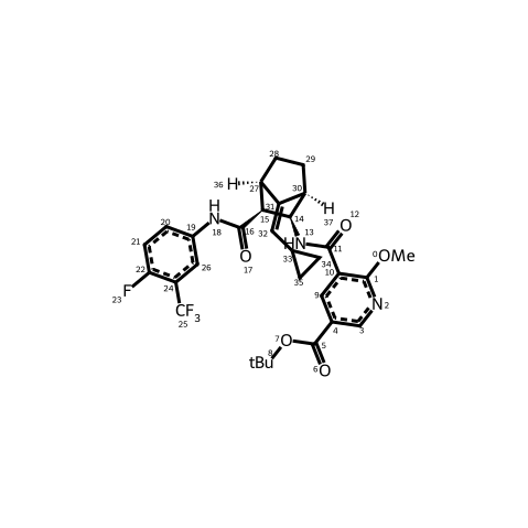 COc1ncc(C(=O)OC(C)(C)C)cc1C(=O)N[C@H]1[C@@H](C(=O)Nc2ccc(F)c(C(F)(F)F)c2)[C@H]2CC[C@@H]1/C2=C\C1CC1